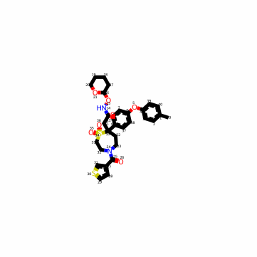 Cc1ccc(Oc2ccc(C3(CC(=O)NOC4CCCCO4)CCN(C(=O)c4ccsc4)CCS3(=O)=O)cc2)cc1